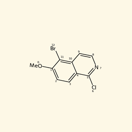 COc1ccc2c(Cl)nccc2c1Br